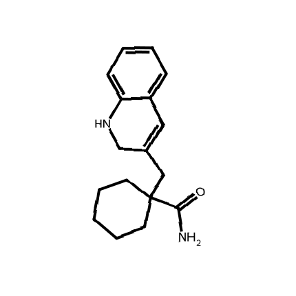 NC(=O)C1(CC2=Cc3ccccc3NC2)CCCCC1